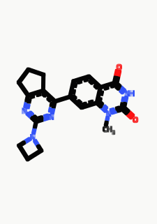 Cn1c(=O)[nH]c(=O)c2ccc(-c3nc(N4CCC4)nc4c3CCC4)cc21